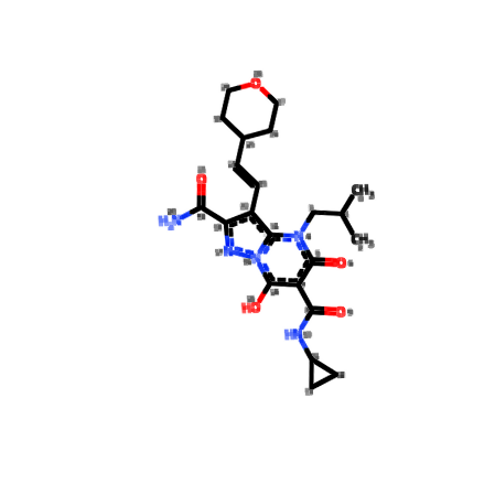 CC(C)Cn1c(=O)c(C(=O)NC2CC2)c(O)n2nc(C(N)=O)c(C=CC3CCOCC3)c12